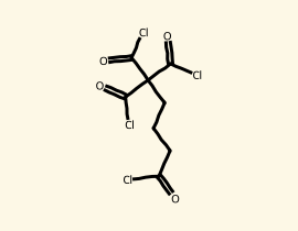 O=C(Cl)CCCC(C(=O)Cl)(C(=O)Cl)C(=O)Cl